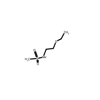 [CH2]COCCNS(C)(=O)=O